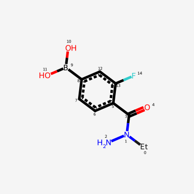 CCN(N)C(=O)c1ccc(B(O)O)cc1F